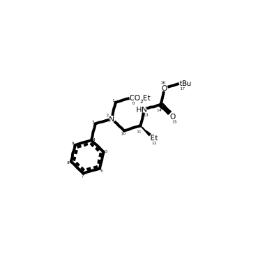 CCOC(=O)CN(Cc1ccccc1)C[C@H](CC)NC(=O)OC(C)(C)C